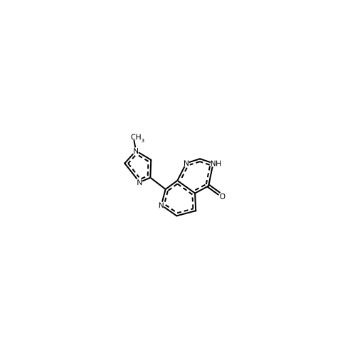 Cn1cnc(-c2nccc3c(=O)[nH]cnc23)c1